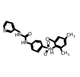 Cc1cc(C)c(NS(=O)(=O)c2ccc(NC(=O)NCc3cccnc3)cc2)c(Cl)c1